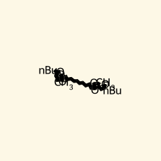 CCCCC(=O)CC(C)S(=O)(=O)CCCCCCCCCCS(=O)(=O)C(C)CC(=O)CCCC